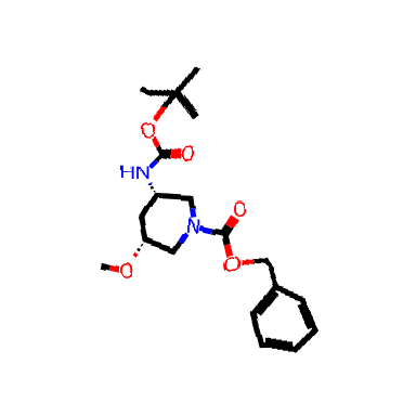 CO[C@@H]1C[C@H](NC(=O)OC(C)(C)C)CN(C(=O)OCc2ccccc2)C1